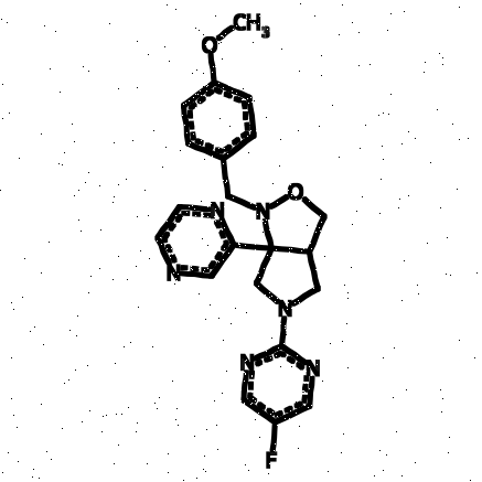 COc1ccc(CN2OCC3CN(c4ncc(F)cn4)CC32c2cnccn2)cc1